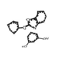 Oc1cccc(O)c1.c1ccc(Oc2nc3ccccc3o2)cc1